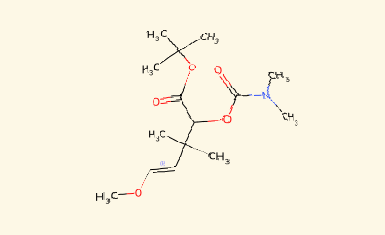 CO/C=C/C(C)(C)C(OC(=O)N(C)C)C(=O)OC(C)(C)C